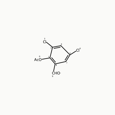 CC(=O)Oc1c(Cl)cc(Cl)cc1[C]=O